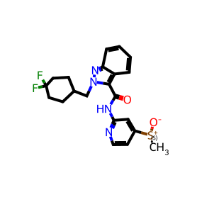 C[S@@+]([O-])c1ccnc(NC(=O)c2c3ccccc3nn2CC2CCC(F)(F)CC2)c1